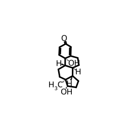 C[C@]12CC[C@H]3[C@@H](CCC4=CC(=O)C=C[C@@]43O)[C@@H]1CC[C@@H]2O